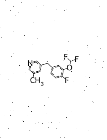 Cc1cncc([CH]c2ccc(F)c(OC(F)F)c2)c1